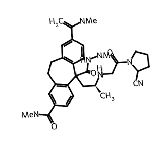 C=C(NC)c1ccc2c(c1)CCc1cc(C(=O)NC)ccc1C2(C[C@H](C)NCC(=O)N1CCCC1C#N)C(=O)NNC